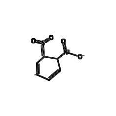 O=[N+]([O-])C1C=C[C]=CC1=S(=O)=O